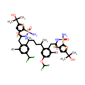 CCc1cc(OC(F)F)cc(C(C)CCC(C)c2cc(C(F)F)cc(C(C)C)c2CC(=O)N[SH](N)(=O)c2sc(C(C)(C)O)cc2F)c1CC(=O)N[SH](N)(=O)c1sc(C(C)(C)O)cc1F